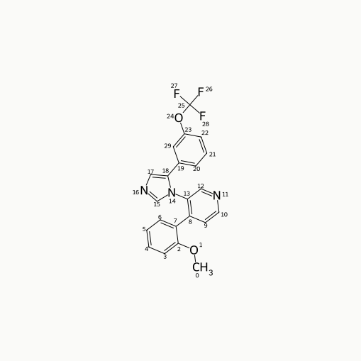 COc1ccccc1-c1ccncc1-n1cncc1-c1cccc(OC(F)(F)F)c1